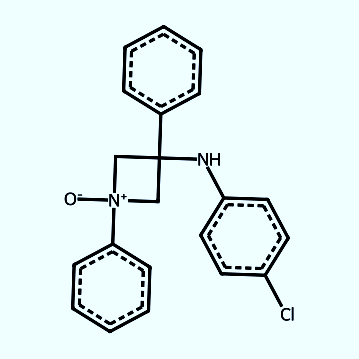 [O-][N+]1(c2ccccc2)CC(Nc2ccc(Cl)cc2)(c2ccccc2)C1